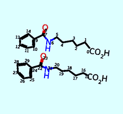 O=C(O)CCCCCNC(=O)c1ccccc1.O=C(O)CCCCCNC(=O)c1ccccc1